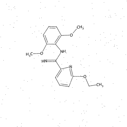 CCOc1cccc(C(=N)Nc2c(OC)cccc2OC)n1